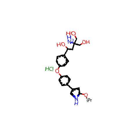 CC(C)Oc1cc(-c2ccc(Oc3ccc(C(O)CC(N)(CO)CO)cc3)cc2)c[nH]1.Cl